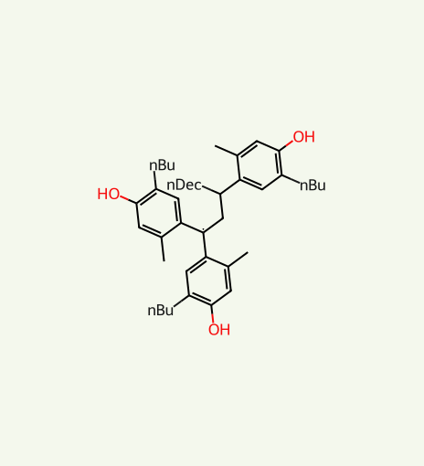 CCCCCCCCCCC(C[C](c1cc(CCCC)c(O)cc1C)c1cc(CCCC)c(O)cc1C)c1cc(CCCC)c(O)cc1C